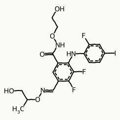 CC(CO)ON=Cc1cc(C(=O)NOCCO)c(Nc2ccc(I)cc2F)c(F)c1F